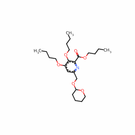 CCCCOC(=O)c1nc(COC2CCCCO2)cc(OCCCC)c1OCCCC